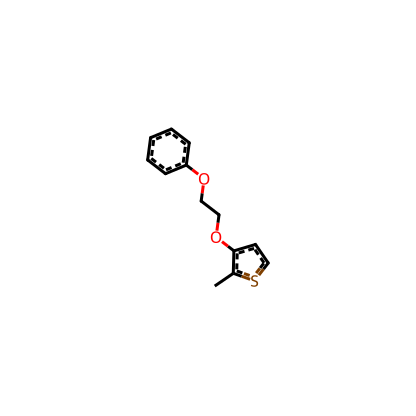 Cc1sccc1OCCOc1ccccc1